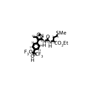 CCOC(=O)C(CCSC)NC(=O)Nc1noc(C)c1-c1ccc(C(O)(C(F)(F)F)C(F)(F)F)cc1